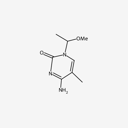 COC(C)n1cc(C)c(N)nc1=O